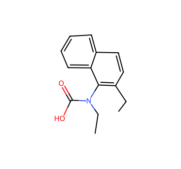 CCc1ccc2ccccc2c1N(CC)C(=O)O